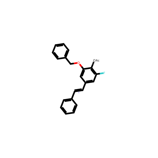 CC(=O)Oc1c(F)cc(/C=C/c2ccccc2)cc1OCc1ccccc1